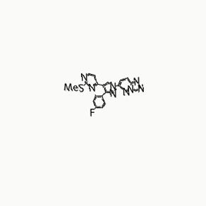 CSc1nccc(-c2cn(-c3ccc4nncn4n3)nc2-c2ccc(F)cc2)n1